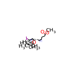 COC(=O)CC/C=C\C[C@@H](/C=C/I)O[Si](C)(C)C(C)(C)C